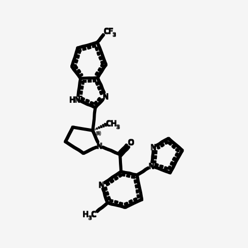 Cc1ccc(-n2cccn2)c(C(=O)N2CCC[C@@]2(C)c2nc3cc(C(F)(F)F)ccc3[nH]2)n1